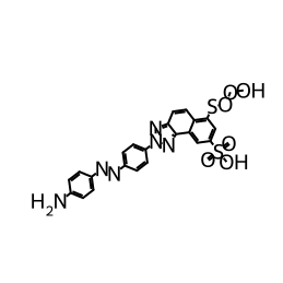 Nc1ccc(N=Nc2ccc(-n3nc4ccc5c(SOOO)cc(S(=O)(=O)O)cc5c4n3)cc2)cc1